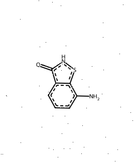 Nc1cccc2c(=O)[nH]sc12